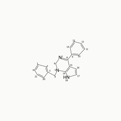 c1ccc(CN2CN=C(c3ccccc3)c3cc[nH]c32)cc1